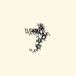 [2H]C([2H])([2H])N=S1(=O)C[C@@](C)(c2cc(-c3cc(-c4ncc(CC)cn4)no3)ccc2F)N=C(NC(=O)OC(C)(C)C)C1(C)C